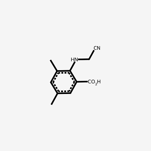 Cc1cc(C)c(NCC#N)c(C(=O)O)c1